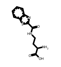 NC(CCNC(=O)c1nc2ccccc2s1)C(=O)O